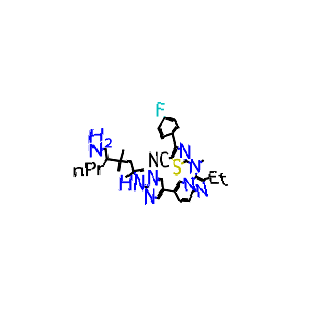 CCCC(CN)C(C)(C)CC(C)(C)Nc1ncc(-c2ccc3nc(CC)c(N(C)c4nc(-c5ccc(F)cc5)c(C#N)s4)n3c2)cn1